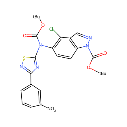 CC(C)(C)OC(=O)N(c1nc(-c2cccc([N+](=O)[O-])c2)ns1)c1ccc2c(cnn2C(=O)OC(C)(C)C)c1Cl